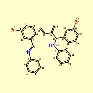 Brc1cccc(/C=N/c2ccccc2)c1.C=CC(=C)C(Nc1ccccc1)c1cccc(Br)c1